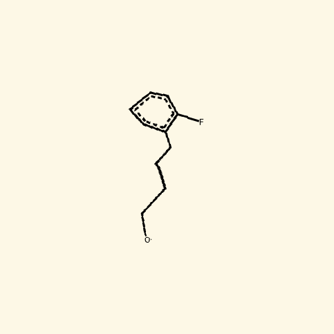 [O]CCCCc1ccccc1F